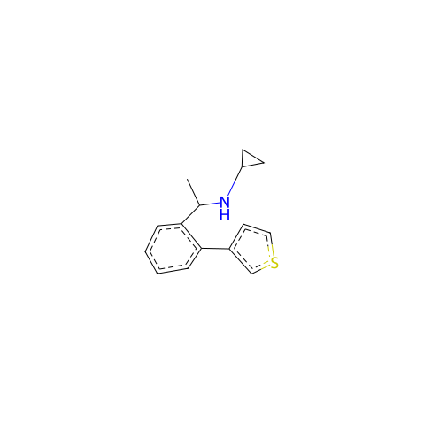 CC(NC1CC1)c1ccccc1-c1ccsc1